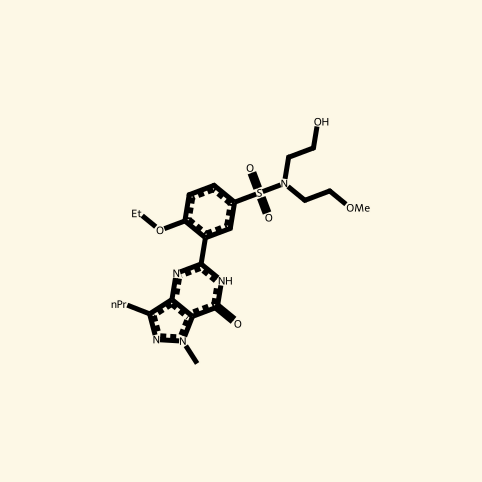 CCCc1nn(C)c2c(=O)[nH]c(-c3cc(S(=O)(=O)N(CCO)CCOC)ccc3OCC)nc12